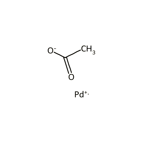 CC(=O)[O-].[Pd+]